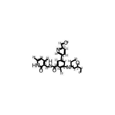 CCC1CC(Nc2cc(-c3ccc(C=O)nc3)cc(C(=O)NCc3c(C)cc(C)[nH]c3=O)c2C)CCO1